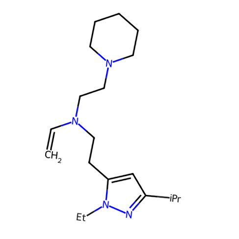 C=CN(CCc1cc(C(C)C)nn1CC)CCN1CCCCC1